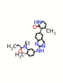 C=CC(=O)N(CC)c1cc(Nc2ncc3cc(-c4c(C)cc[nH]c4=O)ccc3n2)ccc1C